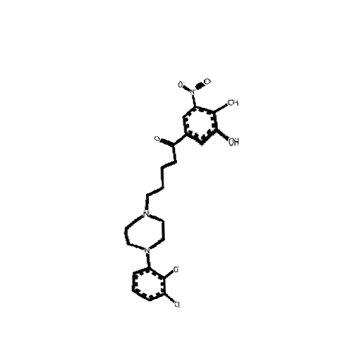 O=C(CCCCN1CCN(c2cccc(Cl)c2Cl)CC1)c1cc(O)c(O)c([N+](=O)[O-])c1